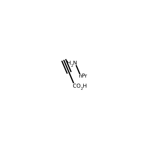 C#CC(=O)O.CCCN